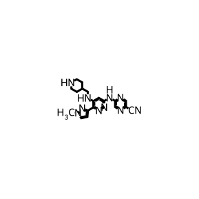 Cn1ccc(-c2nnc(Nc3cnc(C#N)cn3)cc2NCC2CCNCC2)n1